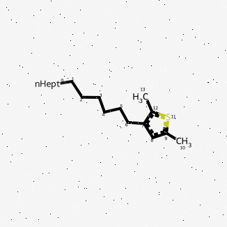 CCCCCCCCCCCCCc1cc(C)sc1C